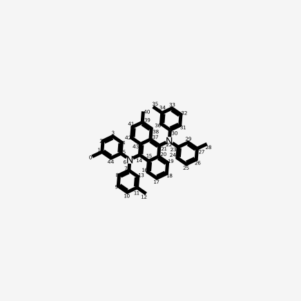 Cc1cccc(N(c2cccc(C)c2)c2c3ccccc3c(N(c3cccc(C)c3)c3cccc(C)c3)c3cc(C)ccc23)c1